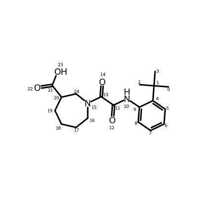 CC(C)(C)c1ccccc1NC(=O)C(=O)N1CCCCC(C(=O)O)C1